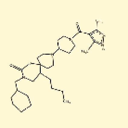 CCCCC1CN(CC2CCCCC2)C(=O)OC12CCN(C1CCN(C(=O)c3c(C)n[nH]c3C)CC1)CC2